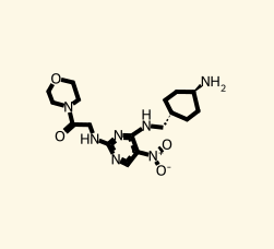 N[C@H]1CC[C@H](CNc2nc(NCC(=O)N3CCOCC3)ncc2[N+](=O)[O-])CC1